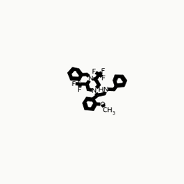 COc1ccccc1C(CNCc1ccccc1)N1CC(C(F)(F)F)N(Cc2ccccc2)C(C(F)(F)F)C1